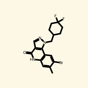 Cc1cc2[nH]c(=O)c3cnn(CC4CCC(F)(F)CC4)c3c2cc1Br